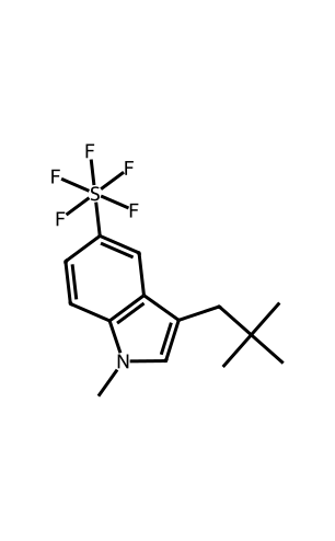 Cn1cc(CC(C)(C)C)c2cc(S(F)(F)(F)(F)F)ccc21